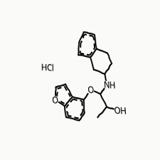 CC(O)C(NC1CCc2ccccc2C1)Oc1cccc2occc12.Cl